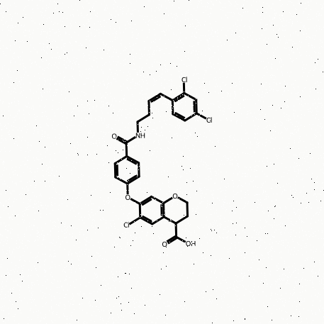 O=C(NCC/C=C\c1ccc(Cl)cc1Cl)c1ccc(Oc2cc3c(cc2Cl)C(C(=O)O)CCO3)cc1